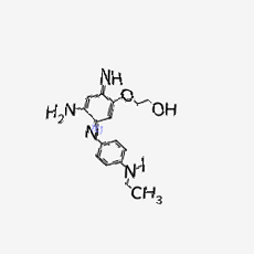 CCN(I)c1ccc(/N=C2\C=C(OCCO)C(=N)C=C2N)cc1